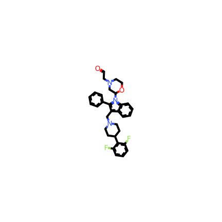 O=CCN1CCOC(n2c(-c3ccccc3)c(CN3CCC(c4c(F)cccc4F)CC3)c3ccccc32)C1